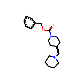 O=C(OCc1ccccc1)N1CCC(=CN2CCCCC2)CC1